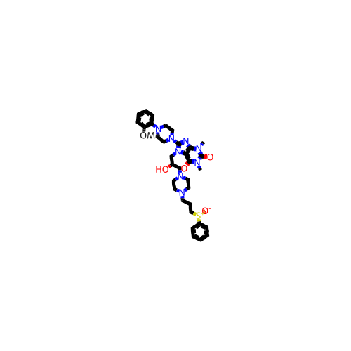 COc1ccccc1N1CCN(c2nc3c(c(=O)n(C)c(=O)n3C)n2CC(O)CN2CCN(CCC[S+]([O-])c3ccccc3)CC2)CC1